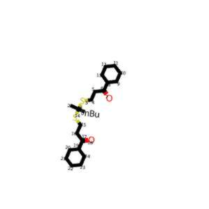 CCCCC(C)(SCCC(=O)C1CCCCC1)SCCC(=O)C1CCCCC1